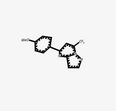 COc1ccc(-c2cc(C(F)(F)F)n3nc[c]c3n2)cc1